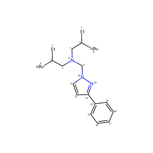 CCCCC(CC)CN(CC(CC)CCCC)Cn1ccc(-c2ccccc2)n1